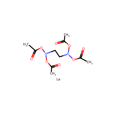 CC(=O)ON(CCN(OC(C)=O)OC(C)=O)OC(C)=O.[La]